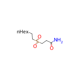 CCCCCCCCS(=O)(=O)CCC(N)=O